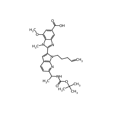 C=CCCCn1c(-c2nc3cc(C(=O)O)cc(OC)c3n2C)cc2ccc(C(C)NC(=O)OC(C)(C)C)nc21